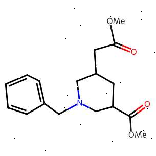 COC(=O)CC1CC(C(=O)OC)CN(Cc2ccccc2)C1